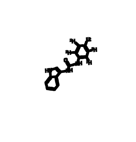 [2H]c1c([2H])c(NC(=O)Nc2c[nH]c3ccccc23)c([2H])c([2H])c1CC